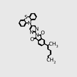 C=C/C=C\C=C(/C)c1ccc2c(c1)C(=O)N(c1ncc(N3c4ccccc4Sc4ccccc43)cn1)C2=O